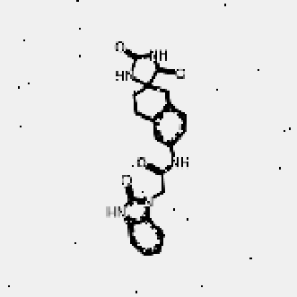 O=C(Cn1c(=O)[nH]c2ccccc21)Nc1ccc2c(c1)CCC1(C2)NC(=O)NC1=O